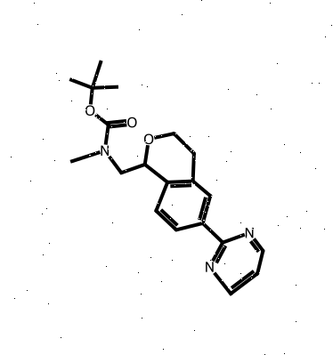 CN(CC1OCCc2cc(-c3ncccn3)ccc21)C(=O)OC(C)(C)C